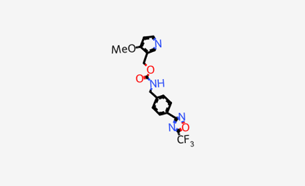 COc1ccncc1COC(=O)NCc1ccc(-c2noc(C(F)(F)F)n2)cc1